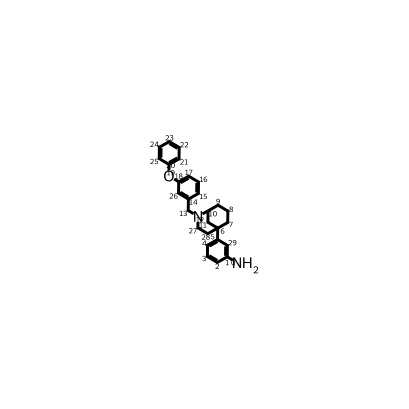 Nc1cccc(C23CCCC(C2)N(Cc2cccc(Oc4ccccc4)c2)CC3)c1